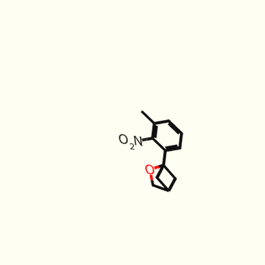 Cc1cccc(C23CC(CO2)C3)c1[N+](=O)[O-]